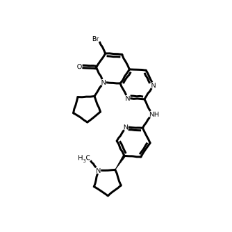 CN1CCC[C@@H]1c1ccc(Nc2ncc3cc(Br)c(=O)n(C4CCCC4)c3n2)nc1